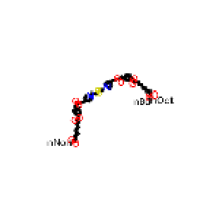 CCCCCCCCCOC(=O)CCCCCCCC(=O)Oc1ccc(CC(=O)OCCC2CCN(CCSSCCN3CCC(CCOC(=O)Cc4ccc(OC(=O)CCCCCCCC(=O)OC(CCCC)CCCCCCCC)cc4)CC3)CC2)cc1